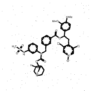 COc1ccc(C(Cc2c(Cl)c[n+]([O-])cc2Cl)OC(=O)c2cccc(CN(C(=O)O[C@H]3CN4CCC3CC4)c3cccc(NS(C)(=O)=O)c3)c2)cc1OC